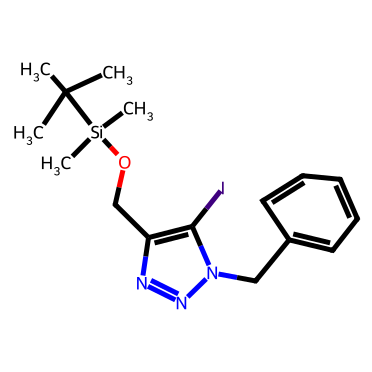 CC(C)(C)[Si](C)(C)OCc1nnn(Cc2ccccc2)c1I